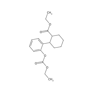 CCOC(=O)Oc1ccccc1C1CCCCC1C(=O)OCC